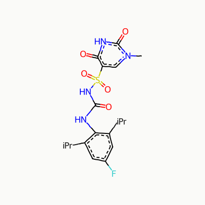 CC(C)c1cc(F)cc(C(C)C)c1NC(=O)NS(=O)(=O)c1cn(C)c(=O)[nH]c1=O